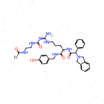 CCC(=O)NCCNC(=O)/N=C(/N)NCCC[C@@H](NC(=O)C(c1ccccc1)N1Cc2ccccc2C1)C(=O)NCc1ccc(O)cc1